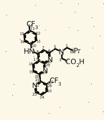 CC(C)CN(CC(=O)O)Cc1cc(Nc2ccc(C(F)(F)F)cc2)c2ccc(-c3ncccc3C(F)(F)F)nc2n1